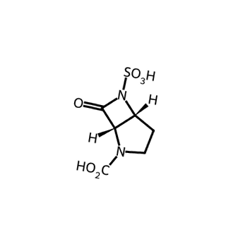 O=C(O)N1CC[C@@H]2[C@H]1C(=O)N2S(=O)(=O)O